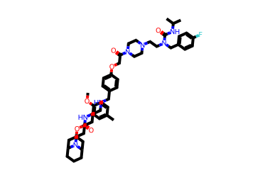 COc1ccc(C)cc1NC(=O)OC1CC2CCCC(C1)N2CCCCCCNCc1ccc(OCC(=O)N2CCN(CCN(Cc3ccc(F)cc3)C(=O)NC(C)C)CC2)cc1